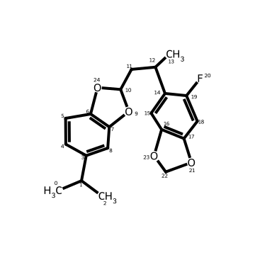 CC(C)c1ccc2c(c1)OC(CC(C)c1cc3c(cc1F)OCO3)O2